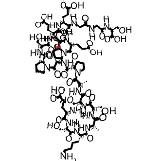 C[C@H](NC(=O)[C@H](CCCCN)NC(=O)[C@H](CO)NC(=O)[C@@H](N)CCC(=O)O)C(=O)N[C@@H](CO)C(=O)N[C@@H](CO)C(=O)N[C@@H](C)C(=O)N1CCC[C@H]1C(=O)N[C@@H](CO)C(=O)N1CCC[C@H]1C(=O)N[C@@H](CO)C(=O)N[C@@H](CO)C(=O)N[C@@H](CCC(=O)O)C(=O)N1CCC[C@H]1C(=O)N[C@@H](CCC(=O)O)C(=O)N[C@@H](CCC(=O)O)C(=O)NCC(=O)NCC(=O)N[C@@H](CO)C(=O)O